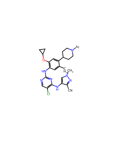 CC(=O)N1CCC(c2cc(OC3CC3)c(Nc3ncc(Cl)c(Nc4cn(C)nc4C#N)n3)cc2C)CC1